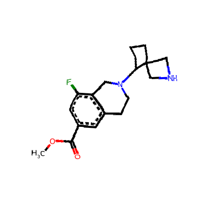 COC(=O)c1cc(F)c2c(c1)CCN(C1CCC13CNC3)C2